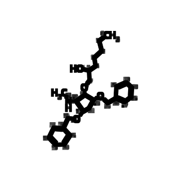 CCCCCC(O)CO[C@@H]1[C@@H](NC)[C@H](OCc2ccccc2)C[C@@H]1OCc1ccccc1